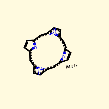 C1=Cc2cc3ccc(cc4nc(cc5ccc(cc1n2)[nH]5)C=C4)[nH]3.[Mo+6]